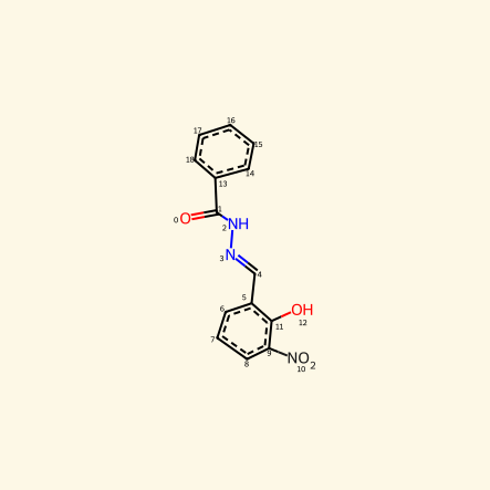 O=C(N/N=C/c1cccc([N+](=O)[O-])c1O)c1ccccc1